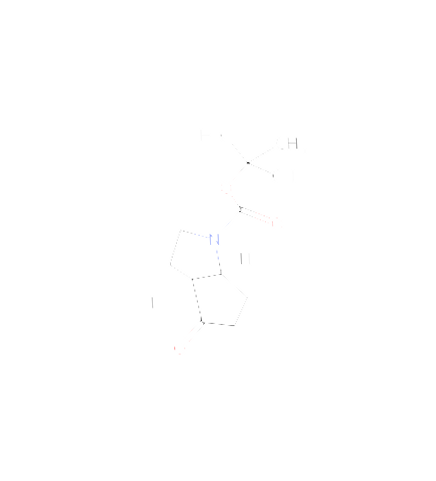 CC(C)(C)OC(=O)N1CC[C@@H]2C(=O)CC[C@@H]21